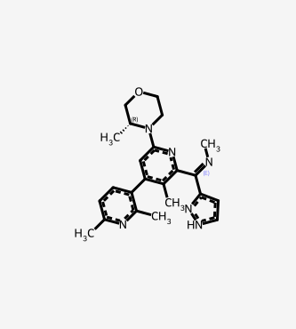 C/N=C(/c1cc[nH]n1)c1nc(N2CCOC[C@H]2C)cc(-c2ccc(C)nc2C)c1C